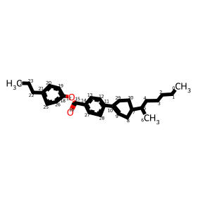 CCCCCC(C)C1CC=C(c2ccc(C(=O)Oc3ccc(CCC)cc3)cc2)CC1